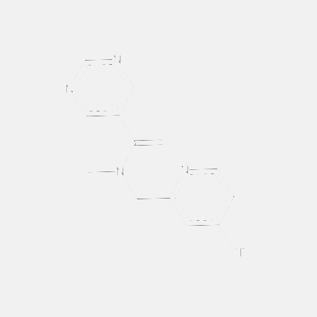 CN(Cc1cc(C(F)(F)F)ccn1)C(=O)c1cncnc1